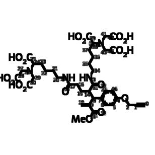 C#CCOc1ccc(C(C(=C)C(=O)OC)C(CCC(=O)NCCCCC(C(=O)O)N(CC(=O)O)CC(=O)O)C(=O)NCCCC[C@@H](C(=O)O)N(CC(=O)O)CC(=O)O)cc1